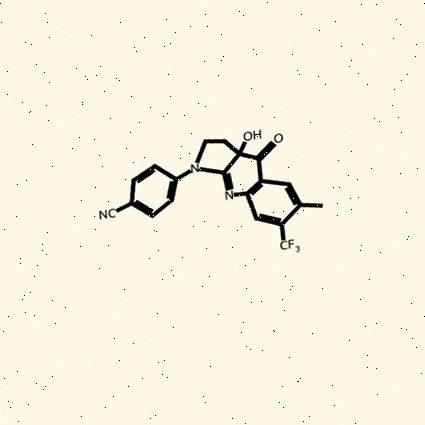 Cc1cc2c(cc1C(F)(F)F)N=C1N(c3ccc(C#N)cc3)CCC1(O)C2=O